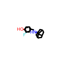 Oc1ccc(CNC23CC4CC(CC(C4)C2)C3)cc1F